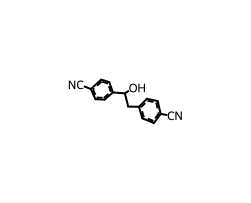 N#Cc1ccc(CC(O)c2ccc(C#N)cc2)cc1